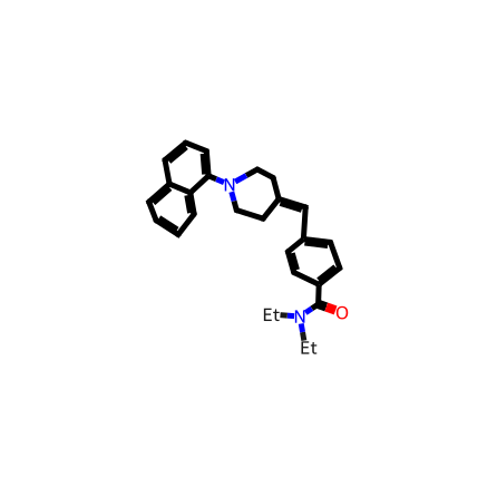 CCN(CC)C(=O)c1ccc(C=C2CCN(c3cccc4ccccc34)CC2)cc1